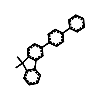 CC1(C)c2ccccc2-c2cc(-c3ccc(-c4ccccc4)cc3)ccc21